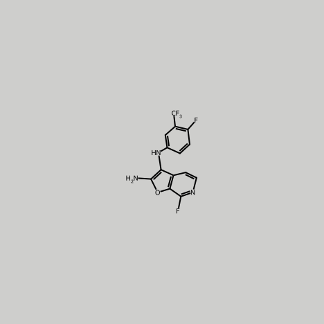 Nc1oc2c(F)nccc2c1Nc1ccc(F)c(C(F)(F)F)c1